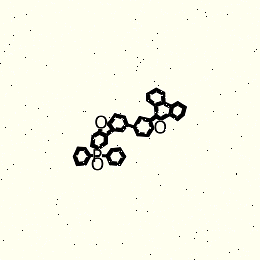 O=P(c1ccccc1)(c1ccccc1)c1ccc2oc3ccc(-c4ccc5oc6c7ccccc7c7ccccc7c6c5c4)cc3c2c1